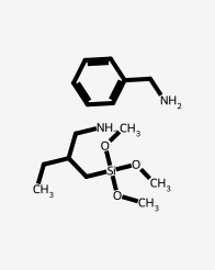 CCC(CN)C[Si](OC)(OC)OC.NCc1ccccc1